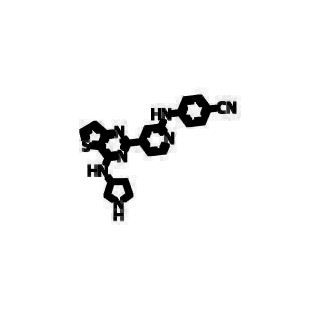 N#Cc1ccc(Nc2cc(-c3nc(NC4CCNC4)c4sccc4n3)ccn2)cc1